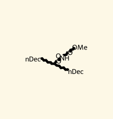 CCCCCCCCCCCCCCCCC(CCCCCCCCCCCCCCCC)COC(=O)NCCCOCCOC